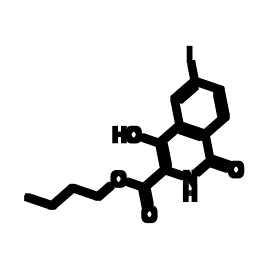 CCCCOC(=O)c1[nH]c(=O)c2ccc(I)cc2c1O